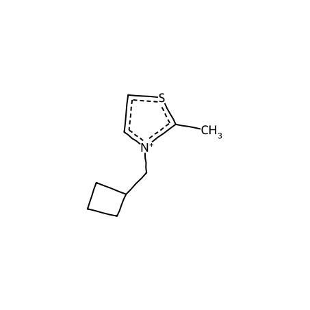 Cc1scc[n+]1CC1CCC1